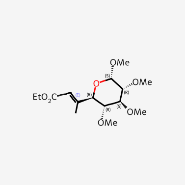 CCOC(=O)/C=C(\C)[C@H]1O[C@H](OC)[C@H](OC)[C@@H](OC)[C@@H]1OC